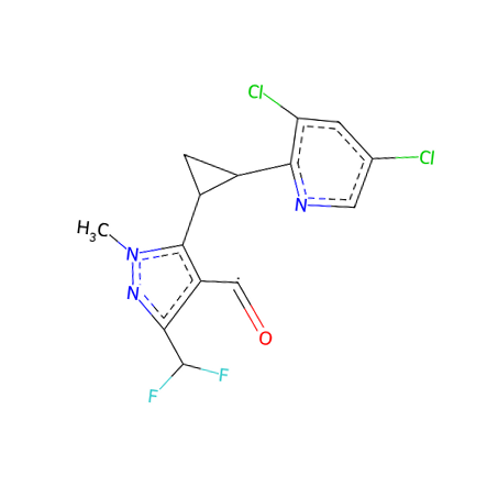 Cn1nc(C(F)F)c([C]=O)c1C1CC1c1ncc(Cl)cc1Cl